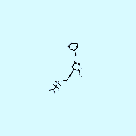 CC(C)C(C)(C)[Si](C)(C)OCC#Cc1cc(OCc2ccccc2)cnc1N